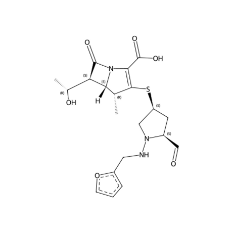 C[C@@H](O)[C@H]1C(=O)N2C(C(=O)O)=C(S[C@H]3C[C@@H](C=O)N(NCc4ccco4)C3)[C@H](C)[C@H]12